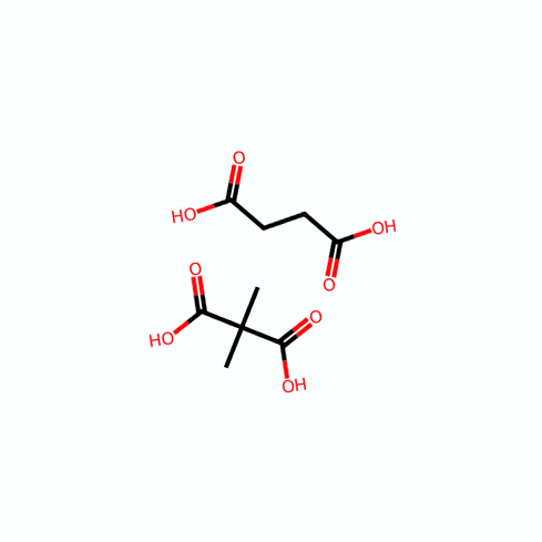 CC(C)(C(=O)O)C(=O)O.O=C(O)CCC(=O)O